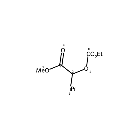 CCOC(=O)OC(C(=O)OC)C(C)C